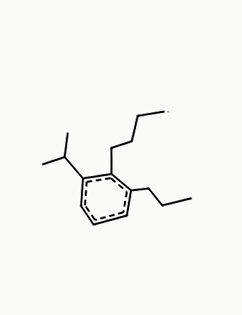 [CH2]CCCc1c(CCC)cccc1C(C)C